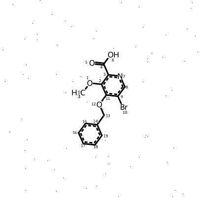 COc1c(C(=O)O)ncc(Br)c1OCc1ccccc1